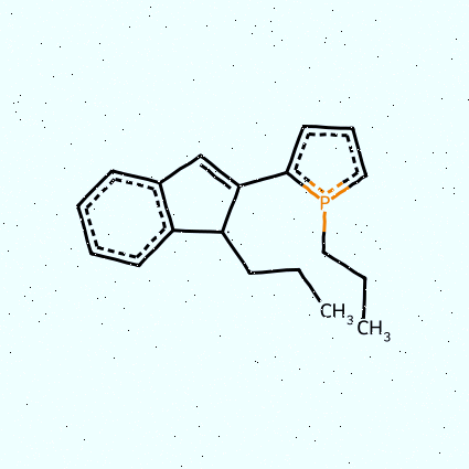 CCC[C]1C(c2cccp2CCC)=Cc2ccccc21